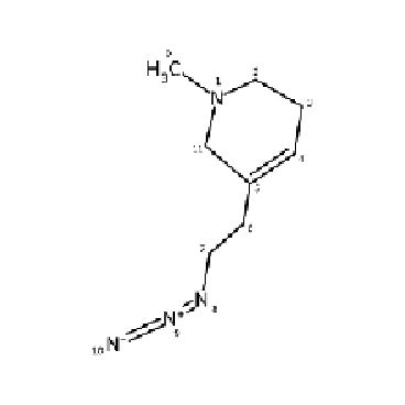 CN1CCC=C(CCN=[N+]=[N-])C1